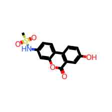 CS(=O)(=O)Nc1ccc2c(c1)oc(=O)c1cc(O)ccc12